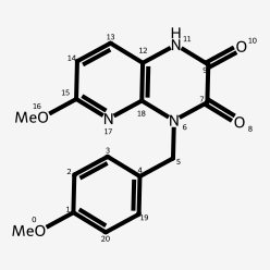 COc1ccc(Cn2c(=O)c(=O)[nH]c3ccc(OC)nc32)cc1